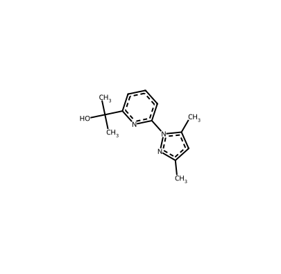 Cc1cc(C)n(-c2cccc(C(C)(C)O)n2)n1